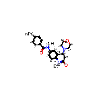 CCCc1ccc(C(=O)N(C)c2ccc3c(c2)c(N2CCOCC2)cc(=O)n3CC)cc1